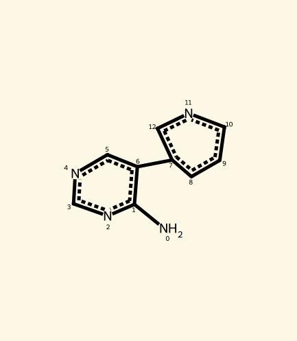 Nc1ncncc1-c1cccnc1